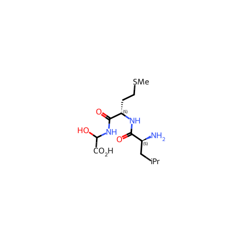 CSCC[C@H](NC(=O)[C@@H](N)CC(C)C)C(=O)NC(O)C(=O)O